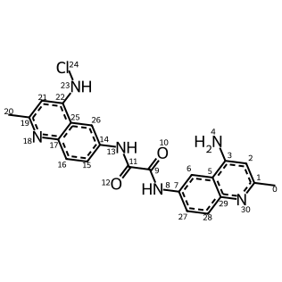 Cc1cc(N)c2cc(NC(=O)C(=O)Nc3ccc4nc(C)cc(NCl)c4c3)ccc2n1